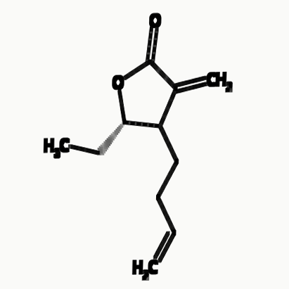 C=CCCC1C(=C)C(=O)O[C@H]1CC